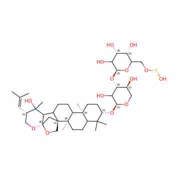 CC(C)=C[C@H]1CO[C@]23C[C@]4(CO2)C(CCC2[C@@]5(C)CC[C@H](O[C@@H]6OC[C@H](O)[C@@H](O[C@@H]7OC(COSO)[C@@H](O)[C@@H](O)C7O)C6O)C(C)(C)C5CC[C@]24C)C3C1(C)O